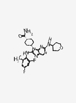 Cc1cc(F)cc(F)c1Nc1nc2cnc(NC3CCOCC3)nc2n1[C@H]1CC[C@@H](C(N)=O)CC1